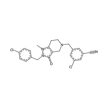 Cn1c2c(c(=O)n1Cc1ccc(Cl)cc1)CN(Cc1cc(Cl)cc(C#N)c1)CC2